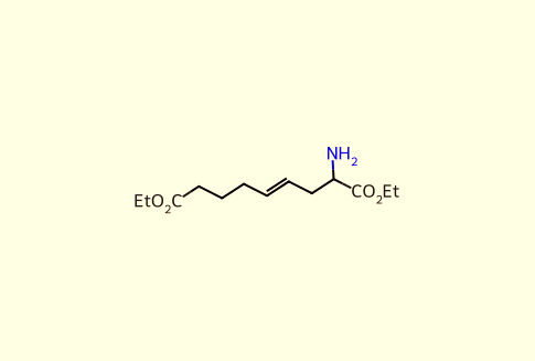 CCOC(=O)CCCC=CCC(N)C(=O)OCC